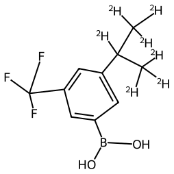 [2H]C([2H])([2H])C([2H])(c1cc(B(O)O)cc(C(F)(F)F)c1)C([2H])([2H])[2H]